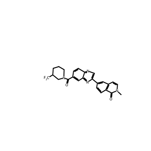 Cn1ccc2cc(-c3cnc4ccc(C(=O)N5CCCC(C(F)(F)F)C5)cc4n3)ccc2c1=O